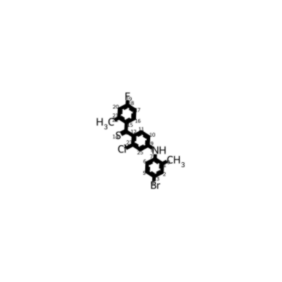 Cc1cc(Br)ccc1Nc1ccc(C(=S)c2ccc(F)cc2C)c(Cl)c1